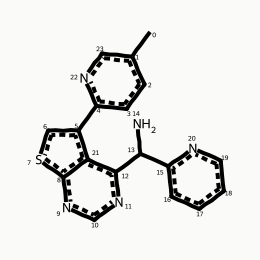 Cc1ccc(-c2csc3ncnc(C(N)c4ccccn4)c23)nc1